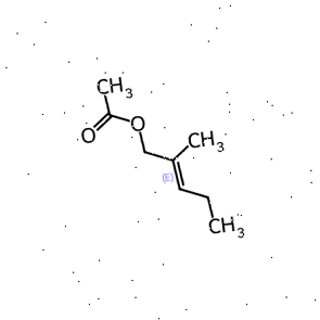 CC/C=C(\C)COC(C)=O